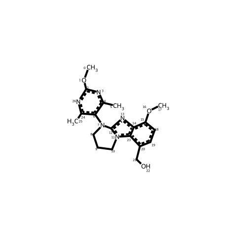 COc1nc(C)c(N2CCCn3c2nc2c(OC)ccc(CO)c23)c(C)n1